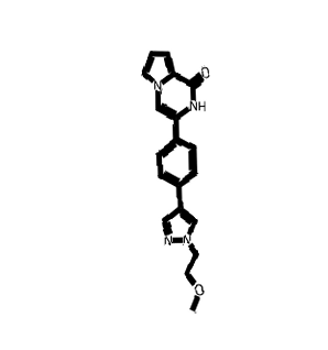 COCCn1cc(-c2ccc(-c3cn4cccc4c(=O)[nH]3)cc2)cn1